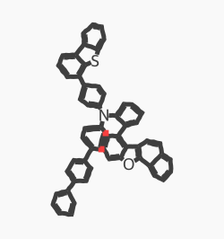 c1ccc(-c2ccc(-c3ccc(N(c4ccc(-c5cccc6c5sc5ccccc56)cc4)c4ccccc4-c4cccc5oc6c7ccccc7ccc6c45)cc3)cc2)cc1